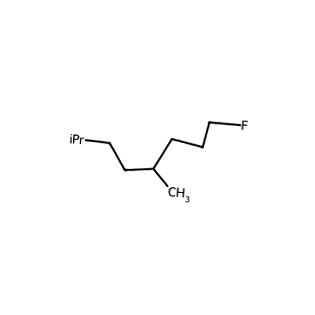 CC(C)CCC(C)CCCF